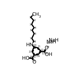 CCCCCCCCCNc1cc(C(=O)O)cc(C(=O)O)c1.[NaH].[NaH]